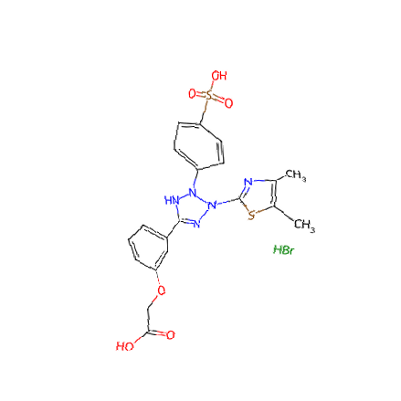 Br.Cc1nc(N2N=C(c3cccc(OCC(=O)O)c3)NN2c2ccc(S(=O)(=O)O)cc2)sc1C